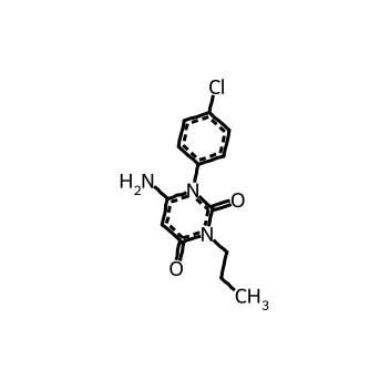 CCCn1c(=O)cc(N)n(-c2ccc(Cl)cc2)c1=O